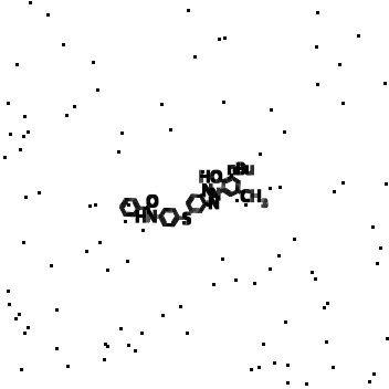 CCCCc1cc(C)cc(-n2nc3ccc(Sc4ccc(NC(=O)c5ccccc5)cc4)cc3n2)c1O